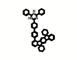 C1=CCCC(C2NC(C3C=CC(c4ccc(C5=CC=CC6C5C5=CC7C(C=C5C65CCCCC5)c5ccccc5C75CCCCC5)cc4)=CC3)=NC(C3C=CCCC3)N2)=C1